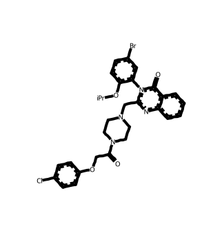 CC(C)Oc1ccc(Br)cc1-n1c(CN2CCN(C(=O)COc3ccc(Cl)cc3)CC2)nc2ccccc2c1=O